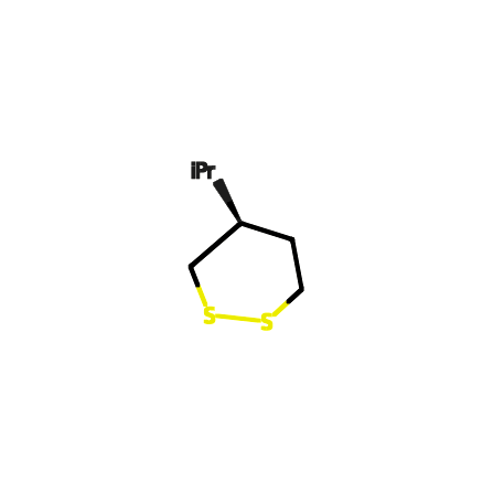 CC(C)[C@H]1CCSSC1